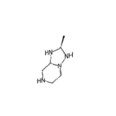 C[C@@H]1NC2CNCCN2N1